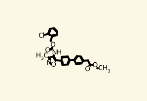 CCOC(=O)Cc1ccc(-c2ccc(-c3onc(C)c3NC(=O)OCc3ccccc3Cl)cc2)cc1